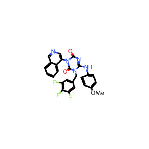 COc1ccc(Nc2nc(=O)n(-c3cncc4ccccc34)c(=O)n2Cc2cc(F)c(F)c(F)c2)cc1